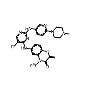 C=C1Oc2ccc(Nc3nc(Nc4ccc(N5CCN(C)CC5)nc4)ncc3Cl)cc2N(CCC)C1=O